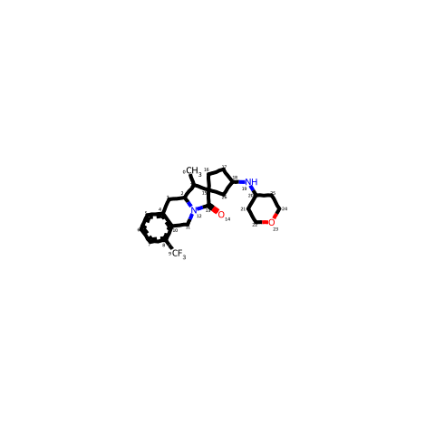 CC1C2Cc3cccc(C(F)(F)F)c3CN2C(=O)C12CCC(NC1CCOCC1)C2